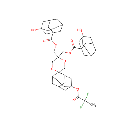 CC(F)(F)C(=O)OC12CC3CC(C1)C1(COC(COC(=O)C45CC6CC(CC(O)(C6)C4)C5)(COC(=O)C45CC6CC(CC(O)(C6)C4)C5)CO1)C(C3)C2